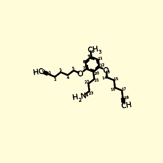 C#CCCCCOc1cc(C)cc(OCCCCC#C)c1CCCN